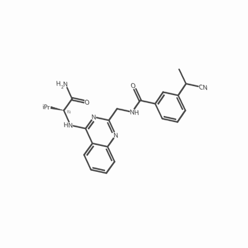 CC(C#N)c1cccc(C(=O)NCc2nc(N[C@H](C(N)=O)C(C)C)c3ccccc3n2)c1